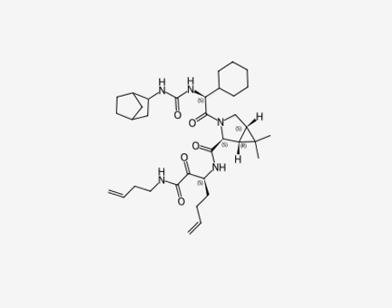 C=CCCNC(=O)C(=O)[C@H](CCC=C)NC(=O)[C@@H]1[C@@H]2[C@H](CN1C(=O)[C@@H](NC(=O)NC1CC3CCC1C3)C1CCCCC1)C2(C)C